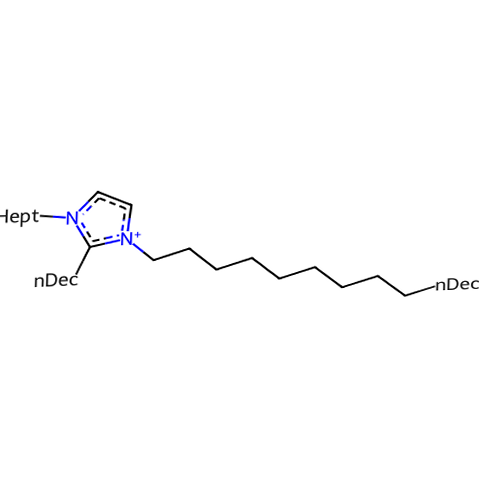 CCCCCCCCCCCCCCCCCCC[n+]1ccn(CCCCCCC)c1CCCCCCCCCC